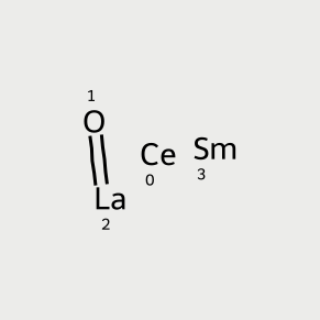 [Ce].[O]=[La].[Sm]